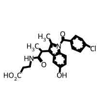 Cc1c(C(C)C(=O)NCCC(=O)O)c2cc(O)ccc2n1C(=O)c1ccc(Cl)cc1